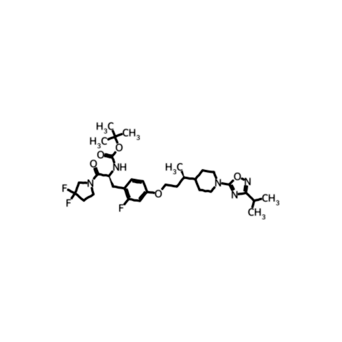 CC(C)c1noc(N2CCC([C@H](C)CCOc3ccc(C[C@H](NC(=O)OC(C)(C)C)C(=O)N4CCC(F)(F)C4)c(F)c3)CC2)n1